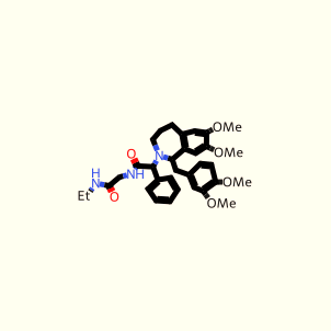 CCNC(=O)CNC(=O)C(c1ccccc1)N1CCCc2cc(OC)c(OC)cc2C1Cc1ccc(OC)c(OC)c1